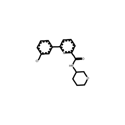 O=C(NC1CCCOC1)c1cccc(-c2cccc(Cl)c2)n1